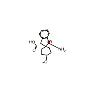 COC1CCC2(CC1)Cc1ccccc1C21COC(N)=N1.O=CO